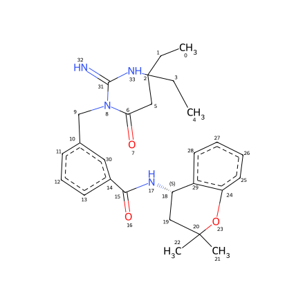 CCC1(CC)CC(=O)N(Cc2cccc(C(=O)N[C@H]3CC(C)(C)Oc4ccccc43)c2)C(=N)N1